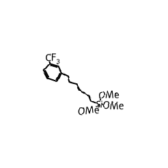 CO[Si](CCCCCCc1cccc(C(F)(F)F)c1)(OC)OC